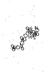 CC(C)(C)OC(=O)[C@H](Cc1ccc(OC(=O)N2CCN(C(=O)c3ccc([N+](=O)[O-])cc3)CC2)cc1)NC(=O)[C@H]1N(S(=O)(=O)c2cccnc2)CSC1(C)C